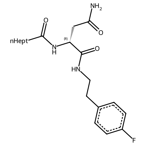 CCCCCCCC(=O)N[C@H](CC(N)=O)C(=O)NCCc1ccc(F)cc1